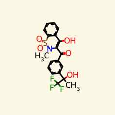 CN1C(C(=O)c2cccc(C(C)(O)C(F)(F)F)c2)=C(O)c2ccccc2S1(=O)=O